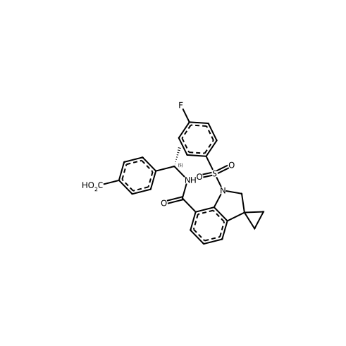 C[C@H](NC(=O)c1cccc2c1N(S(=O)(=O)c1ccc(F)cc1)CC21CC1)c1ccc(C(=O)O)cc1